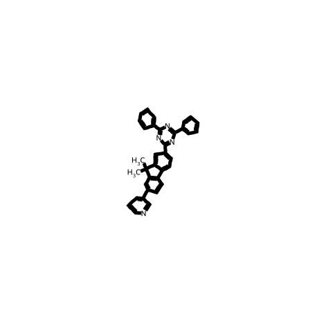 CC1(C)c2cc(-c3cccnc3)ccc2-c2ccc(-c3nc(-c4ccccc4)nc(-c4ccccc4)n3)cc21